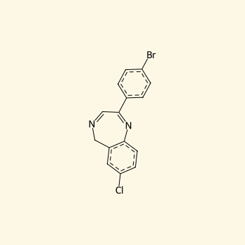 Clc1ccc2c(c1)CN=CC(c1ccc(Br)cc1)=N2